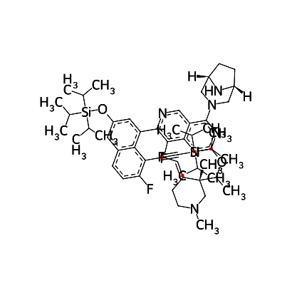 CC(Oc1nc(N2C[C@H]3CC[C@@H](C2)N3)c2cnc(-c3cc(O[Si](C(C)C)(C(C)C)C(C)C)cc4ccc(F)c(C#C[Si](C(C)C)(C(C)C)C(C)C)c34)c(F)c2n1)[C@]1(C)CN(C)CC/C1=C\F